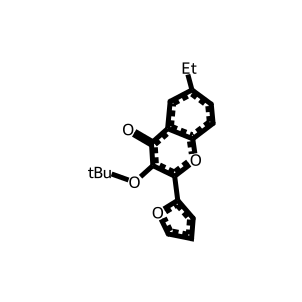 CCc1ccc2oc(-c3ccco3)c(OC(C)(C)C)c(=O)c2c1